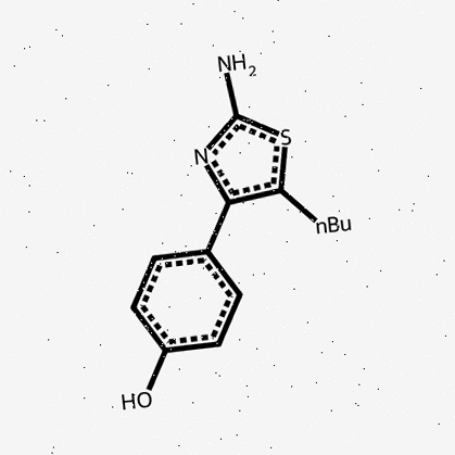 CCCCc1sc(N)nc1-c1ccc(O)cc1